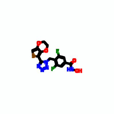 O=C(NO)c1cc(F)c(Cn2nnnc2-c2scc3c2OCCO3)c(F)c1